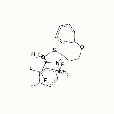 C=C(SC1(N(N)C(=O)C(F)F)CCOc2ccccc21)c1cc(F)ccc1F